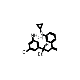 C=C(CC(CC)(c1cc(N)cc(Cl)c1)C(C)C)c1cccc(NC2CC2)c1